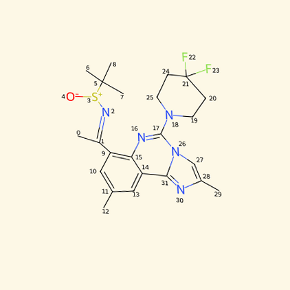 CC(=N[S+]([O-])C(C)(C)C)c1cc(C)cc2c1nc(N1CCC(F)(F)CC1)n1cc(C)nc21